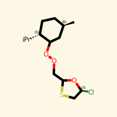 CC(C)[C@@H]1CC[C@@H](C)CC1OOCC1O[C@@H](Cl)CS1